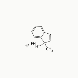 C[C]1([Hf])C=Cc2ccccc21.F.F